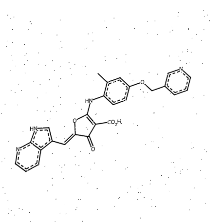 Cc1cc(OCc2cccnc2)ccc1NC1=C(C(=O)O)C(=O)C(=Cc2c[nH]c3ncccc23)O1